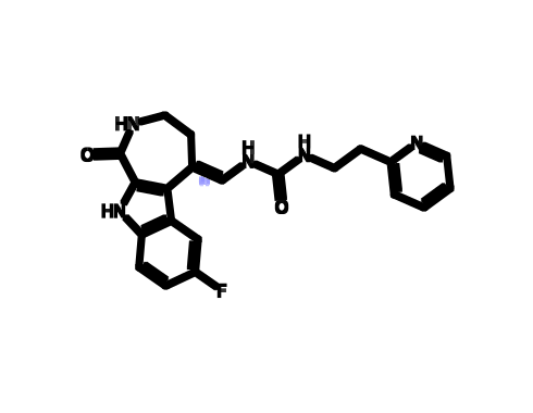 O=C(N/C=C1\CCNC(=O)c2[nH]c3ccc(F)cc3c21)NCCc1ccccn1